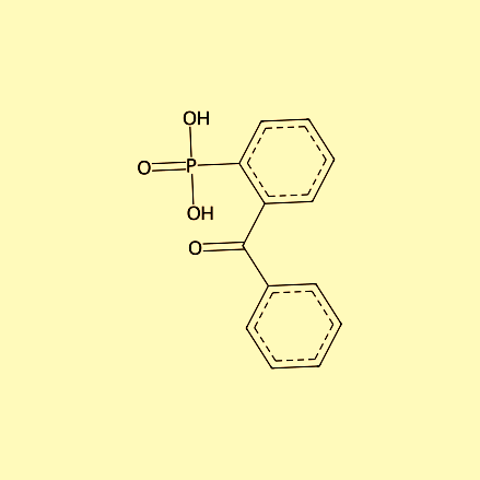 O=C(c1ccccc1)c1ccccc1P(=O)(O)O